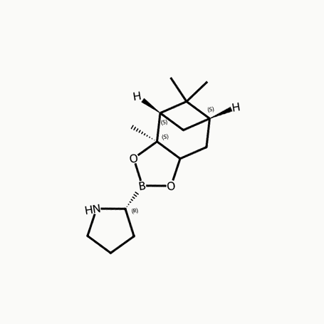 CC1(C)[C@@H]2CC3OB([C@@H]4CCCN4)O[C@@]3(C)[C@H]1C2